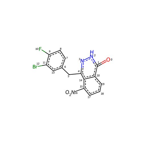 O=c1[nH]nc(Cc2ccc(F)c(Br)c2)c2c([N+](=O)[O-])cccc12